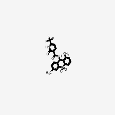 Cc1ccc2c(c1)S(=O)(=O)c1cccc(C)c1C2NC(=O)c1ccc(C(F)(F)F)[nH]c1=O